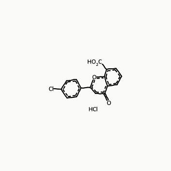 Cl.O=C(O)c1cccc2c(=O)cc(-c3ccc(Cl)cc3)oc12